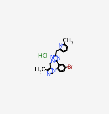 Cc1cccc(Cc2nc3n(n2)Cc2c(C)ncn2-c2ccc(Br)cc2-3)n1.Cl